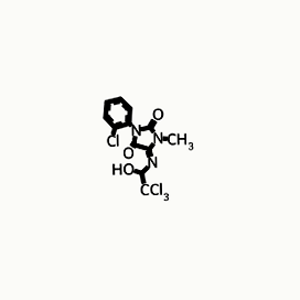 CN1C(=O)N(c2ccccc2Cl)C(=O)C1=NC(O)C(Cl)(Cl)Cl